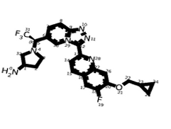 NC1CCN([C@H](c2ccc3nnc(-c4ccc5cc(F)c(OCC6CC6)cc5n4)n3c2)C(F)(F)F)C1